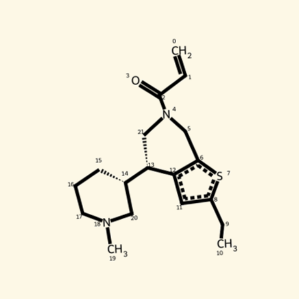 C=CC(=O)N1Cc2sc(CC)cc2[C@H]([C@H]2CCCN(C)C2)C1